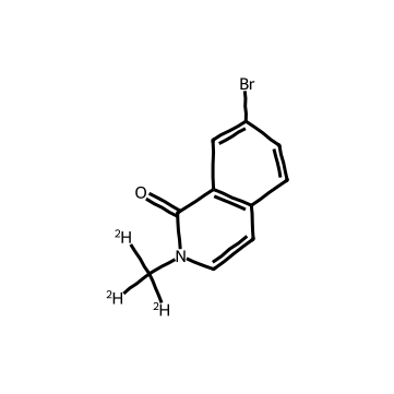 [2H]C([2H])([2H])n1ccc2ccc(Br)cc2c1=O